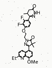 CCc1ccc2c(C3=NN(CCOc4ccc(C5=NNC(=O)CC5C)c(F)c4F)C(=O)C3(C)C)ccc(OC)c2n1